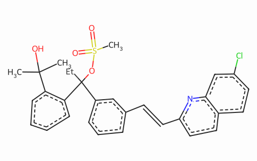 CCC(OS(C)(=O)=O)(c1cccc(C=Cc2ccc3ccc(Cl)cc3n2)c1)c1ccccc1C(C)(C)O